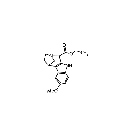 COc1ccc2[nH]c3c(c2c1)C1CCN(C1)C3C(=O)OCC(F)(F)F